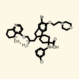 C[C@@H](COc1ccnc2c1[C@H](C)CCC2)CC1Cc2cc(Br)c(OCCN3CCOCC3)cc2C12CCC(Nc1cccc(Cl)c1)(C(=O)O)CC2